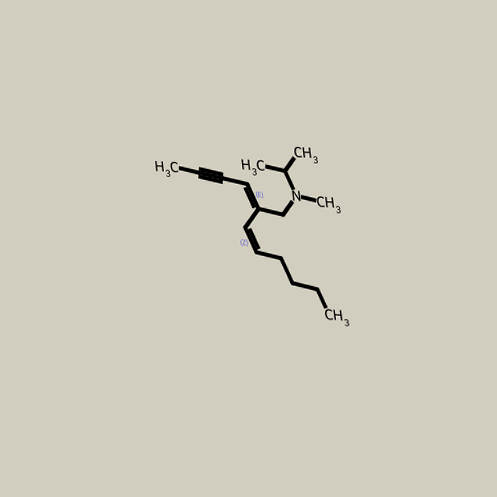 CC#C/C=C(\C=C/CCCC)CN(C)C(C)C